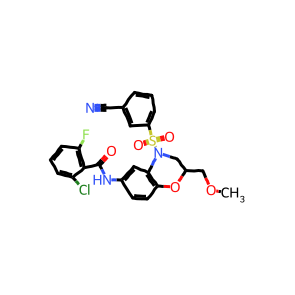 COCC1CN(S(=O)(=O)c2cccc(C#N)c2)c2cc(NC(=O)c3c(F)cccc3Cl)ccc2O1